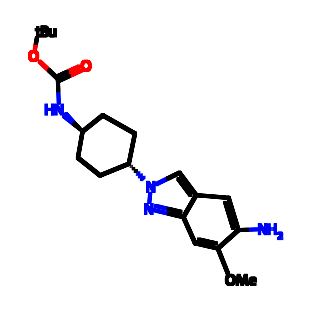 COc1cc2nn([C@H]3CC[C@H](NC(=O)OC(C)(C)C)CC3)cc2cc1N